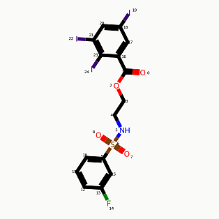 O=C(OCCNS(=O)(=O)c1cccc(F)c1)c1cc(I)cc(I)c1I